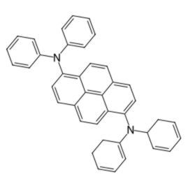 C1=CCCC(N(c2ccc3ccc4c(N(c5ccccc5)c5ccccc5)ccc5ccc2c3c54)C2C=CC=CC2)=C1